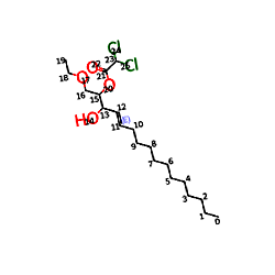 CCCCCCCCCCC/C=C/C(O)C(COCC)OC(=O)C(Cl)Cl